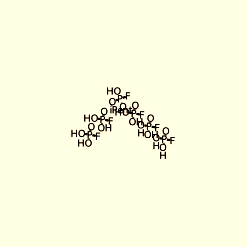 CCCC(C)OP(=O)(O)F.O=P(O)(O)F.O=P(O)(O)F.O=P(O)(O)F.O=P(O)(O)F.O=P(O)(O)F